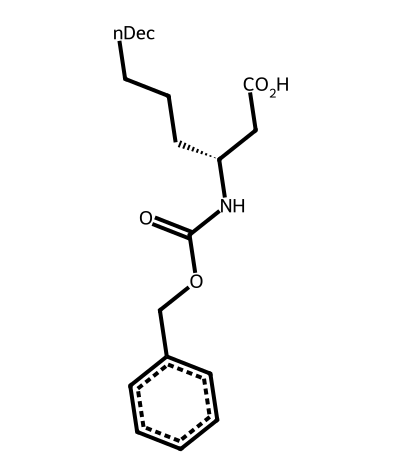 CCCCCCCCCCCCC[C@H](CC(=O)O)NC(=O)OCc1ccccc1